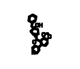 O=C(c1c(-c2ccncc2)ccc2c1OCO2)N1CCC(O)(Cc2ccccc2)CC1